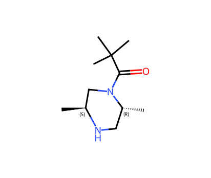 C[C@@H]1CN[C@@H](C)CN1C(=O)C(C)(C)C